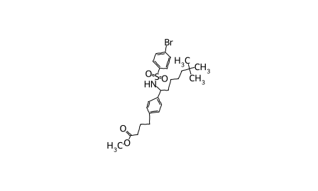 COC(=O)CCCc1ccc(C(CCCCC(C)(C)C)NS(=O)(=O)c2ccc(Br)cc2)cc1